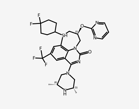 C[C@@H]1CN(c2nc(=O)n3c4c(cc(C(F)(F)F)cc24)[SH](C2CCC(F)(F)CC2)C[C@@H](Oc2ncccn2)C3)C[C@H](C)N1